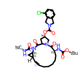 CC(C)(C)OC(=O)N[C@H]1CCCCC/C=C\[C@@H]2C[C@@]2(C(=O)NC#N)NC(=O)C2C[C@@H](OC(=O)N3Cc4cccc(Cl)c4C3)CN2C1=O